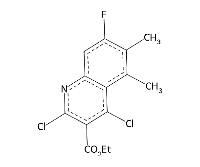 CCOC(=O)c1c(Cl)nc2cc(F)c(C)c(C)c2c1Cl